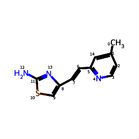 Cc1ccnc(/C=C/c2csc(N)n2)c1